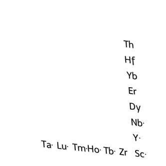 [Dy].[Er].[Hf].[Ho].[Lu].[Nb].[Sc].[Ta].[Tb].[Th].[Tm].[Y].[Yb].[Zr]